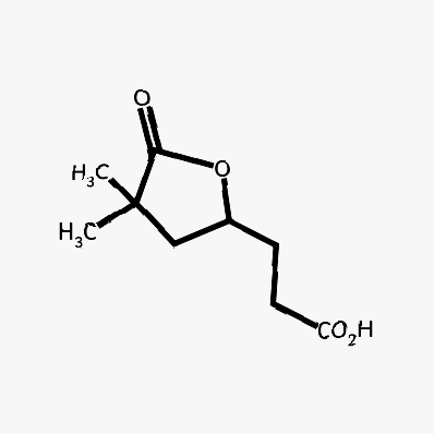 CC1(C)CC(CCC(=O)O)OC1=O